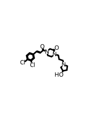 O=C(/C=C/c1ccc(Cl)c(Cl)c1)N1CCN(CCCN2CCC(O)C2)C(=O)C1